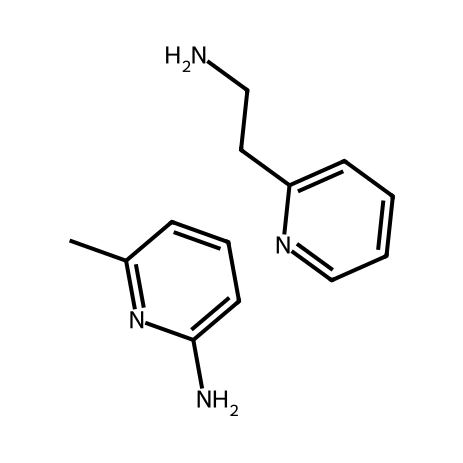 Cc1cccc(N)n1.NCCc1ccccn1